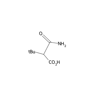 CC(C)(C)C(C(N)=O)C(=O)O